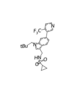 CC(C)(C)Cn1cc(CNS(=O)(=O)C2CC2)c2ccc(-c3cnccc3C(F)(F)F)cc21